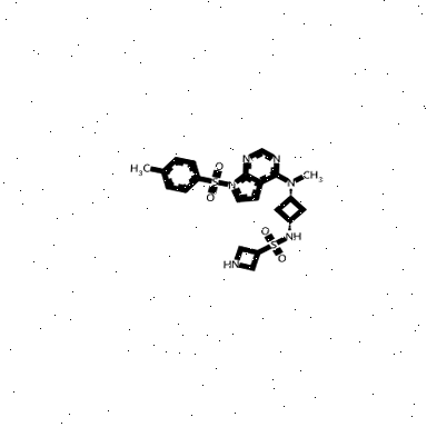 Cc1ccc(S(=O)(=O)n2ccc3c(N(C)[C@H]4C[C@@H](NS(=O)(=O)C5CNC5)C4)ncnc32)cc1